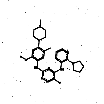 COc1cc(N2CCN(C)CC2)c(C)cc1Nc1ncc(Cl)c(Nc2cccnc2N2CCCC2)n1